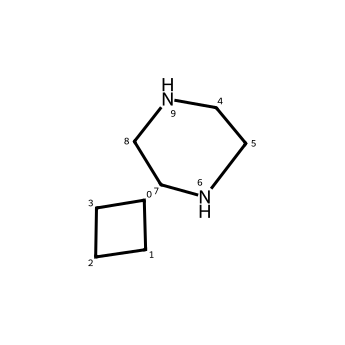 C1CCC1.C1CNCCN1